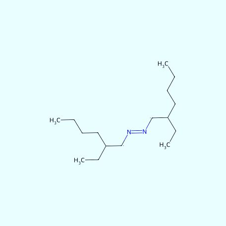 CCCCC([CH]N=N[CH]C(CC)CCCC)CC